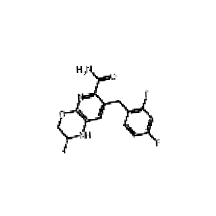 C[C@H]1COc2nc(C(N)=O)c(Cc3ccc(F)cc3F)cc2N1